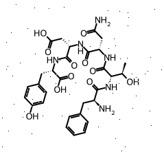 C[C@@H](O)[C@H](NC(=O)[C@@H](N)Cc1ccccc1)C(=O)N[C@@H](CC(N)=O)C(=O)N[C@@H](CC(=O)O)C(=O)N[C@@H](Cc1ccc(O)cc1)C(=O)O